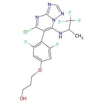 CC(Nc1c(-c2c(F)cc(OCCCO)cc2F)c(Cl)nc2ncnn12)C(F)(F)F